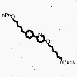 CCCCCC=CCCCCOc1ccc(-c2ccc(CCCCCOCCC)cc2)nc1